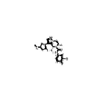 COC1CC(O)N(c2cnn3c2CN(C(=O)Nc2ccc(F)c(Cl)c2)[C@@H](C)C3)C1